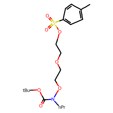 CCCN(OCCOCCOS(=O)(=O)c1ccc(C)cc1)C(=O)OC(C)(C)C